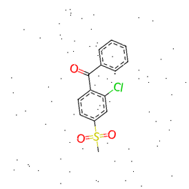 CS(=O)(=O)c1ccc(C(=O)c2[c]cccc2)c(Cl)c1